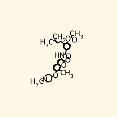 CC(=O)Oc1ccc(C(=O)Nc2cc3ccc(OC4CCN(C)CC4)c(C)c3oc2=O)cc1CC=C(C)C